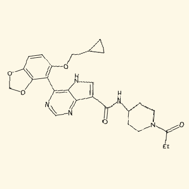 CCC(=O)N1CCC(NC(=O)c2c[nH]c3c(-c4c(OCC5CC5)ccc5c4OCO5)ncnc23)CC1